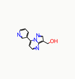 OCc1cnn2c(-c3cccnc3)ccnc12